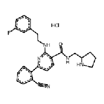 Cl.N#Cc1ccccc1-c1ccc(C(=O)NCC2CCCN2)c(NCCc2cccc(F)c2)n1